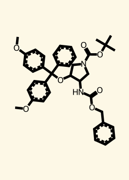 COc1ccc(C(OC2CN(C(=O)OC(C)(C)C)CC2NC(=O)OCc2ccccc2)(c2ccccc2)c2ccc(OC)cc2)cc1